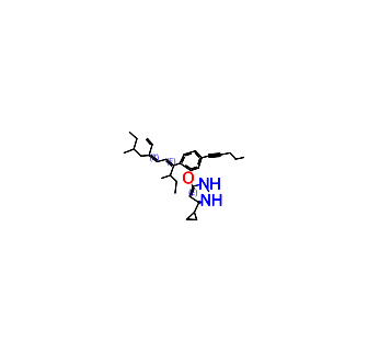 C=C/C(=C\C=C(\c1ccc(C#CCCC)cc1O/C(=C/C(=N)C1CC1)NC)C(C)CC)CC(C)CC